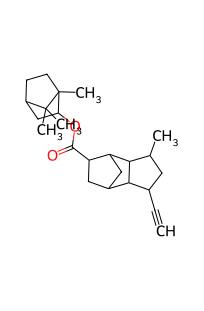 C#CC1CC(C)C2C3CC(CC3C(=O)OC3CC4CCC3(C)C4(C)C)C12